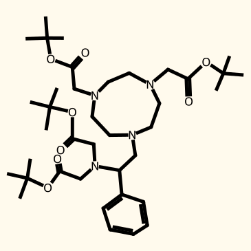 CC(C)(C)OC(=O)CN1CCN(CC(=O)OC(C)(C)C)CCN(CC(c2ccccc2)N(CC(=O)OC(C)(C)C)CC(=O)OC(C)(C)C)CC1